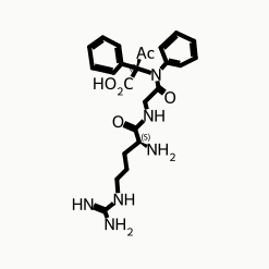 CC(=O)[C@@](C(=O)O)(c1ccccc1)N(C(=O)CNC(=O)[C@@H](N)CCCNC(=N)N)c1ccccc1